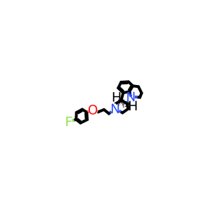 Fc1ccc(OCCCN2CC[C@H]3[C@@H](C2)c2cccc4c2N3CCC4)cc1